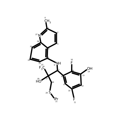 Cc1ccc2c(NC(c3cc(F)cc(O)c3F)C(O)(CSC(C)C)C(F)(F)F)cccc2n1